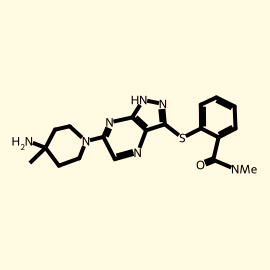 CNC(=O)c1ccccc1Sc1n[nH]c2nc(N3CCC(C)(N)CC3)cnc12